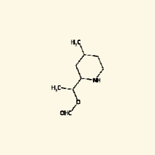 CC1CCNC(C(C)OC=O)C1